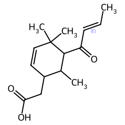 C/C=C/C(=O)C1C(C)C(CC(=O)O)C=CC1(C)C